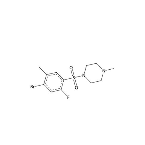 Cc1cc(S(=O)(=O)N2CCN(C)CC2)c(F)cc1Br